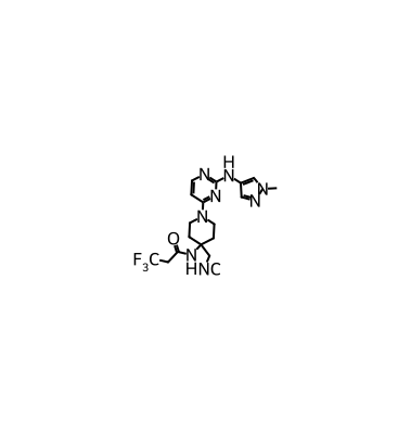 Cn1cc(Nc2nccc(N3CCC(CC#N)(NC(=O)CC(F)(F)F)CC3)n2)cn1